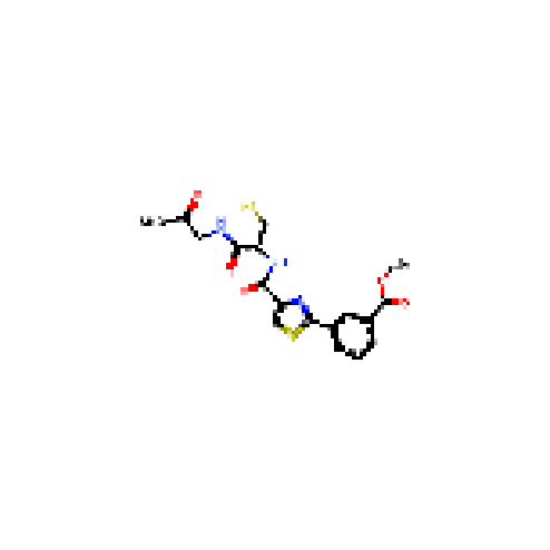 COC(=O)CNC(=O)C(CS)NC(=O)c1csc(-c2cccc(C(=O)OC(C)(C)C)c2)n1